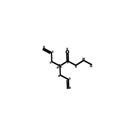 C=CCN(CC=C)C(=O)CCC